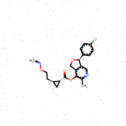 C=NOCC[C@@H]1C[C@H]1C(=O)Oc1c(C)ncc2c1CO[C@H]2c1ccc(Cl)cc1